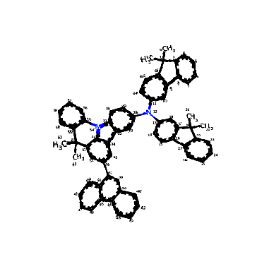 CC1(C)c2ccccc2-c2cc(N(c3ccc4c(c3)C(C)(C)c3ccccc3-4)c3ccc4c(c3)c3cc(-c5cc6ccccc6c6ccccc56)cc5c3n4-c3ccccc3C5(C)C)ccc21